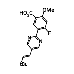 COc1cc(F)c(-c2ncc(/C=C/C(C)(C)C)cn2)cc1C(=O)O